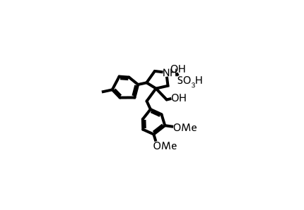 COc1ccc(CC2(CO)CNCC2c2ccc(C)cc2)cc1OC.O=S(=O)(O)O